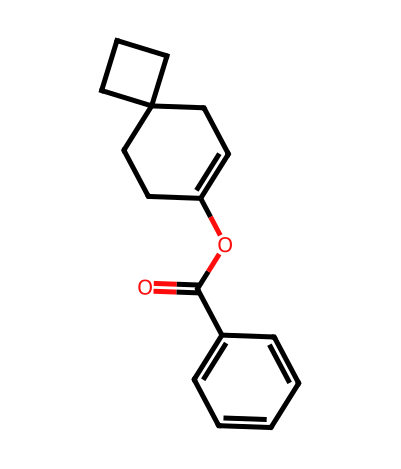 O=C(OC1=CCC2(CCC2)CC1)c1ccccc1